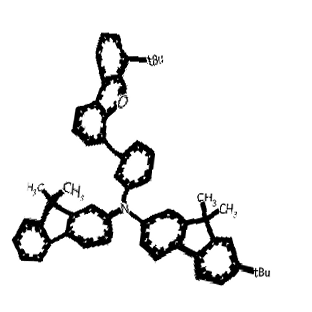 CC(C)(C)c1ccc2c(c1)C(C)(C)c1cc(N(c3cccc(-c4cccc5c4oc4c(C(C)(C)C)cccc45)c3)c3ccc4c(c3)C(C)(C)c3ccccc3-4)ccc1-2